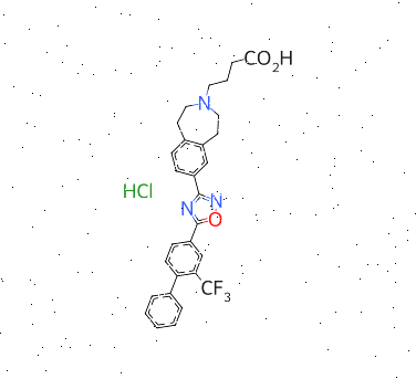 Cl.O=C(O)CCCN1CCc2ccc(-c3noc(-c4ccc(-c5ccccc5)c(C(F)(F)F)c4)n3)cc2CC1